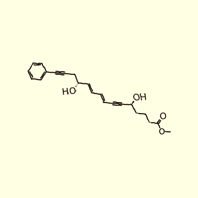 COC(=O)CCC[C@H](O)C#C/C=C/C=C/[C@H](O)CC#Cc1ccccc1